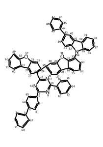 c1ccc(-c2ccc(-c3nc(-c4ccccc4)nc(-c4cc5c(cc4-c4ccc6c(c4)oc4c(-n7c8ccccc8c8cc(-c9ccccc9)ccc87)cccc46)oc4ccccc45)n3)cc2)cc1